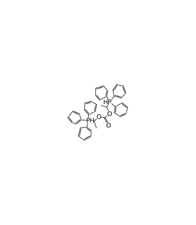 CC(OC(=O)OC(C)[PH](c1ccccc1)(c1ccccc1)c1ccccc1)[PH](c1ccccc1)(c1ccccc1)c1ccccc1